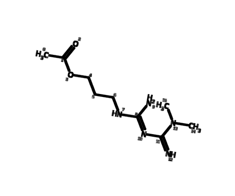 CC(=O)OCCCN/C(N)=N/C(=N)N(C)C